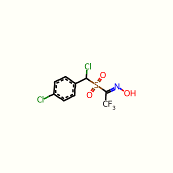 O=S(=O)(/C(=N/O)C(F)(F)F)C(Cl)c1ccc(Cl)cc1